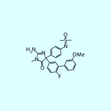 COc1cccc(-c2cc(C3(c4ccc(N=S(C)(C)=O)cc4)N=C(N)N(C)C3=O)ccc2F)c1